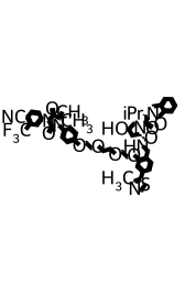 Cc1ncsc1-c1ccc(CNC(=O)[C@@H]2C[C@@H](O)CN2C(=O)[C@H](C(C)C)N2Cc3ccccc3C2=O)c(OCCOCCOCCOc2ccc(N3C(=O)N(c4ccc(C#N)c(C(F)(F)F)c4)C(=O)C3(C)C)cc2)c1